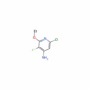 CCOc1nc(Cl)cc(N)c1F